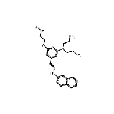 CCCN(CCC)c1cc(/C=N/Nc2ccc3ccccc3c2)nc(OCCNC)n1